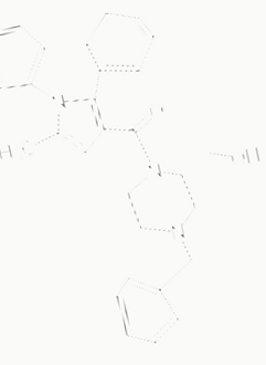 Cc1cc(C(=O)N2CCN(Cc3ccccc3)C[C@H]2CO)c(-c2ccccc2)n1-c1ccccc1